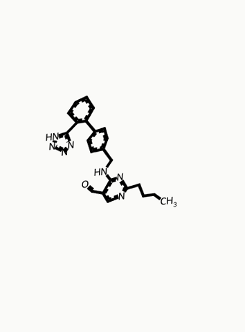 CCCCc1ncc(C=O)c(NCc2ccc(-c3ccccc3-c3nnn[nH]3)cc2)n1